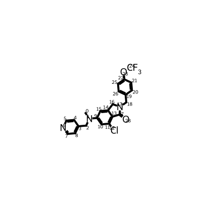 CN(Cc1ccncc1)c1cc(Cl)c2c(c1)CN(Cc1ccc(OC(F)(F)F)cc1)C2=O